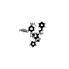 Cl.Cl.NC1CCC(Nc2nc(NCCc3ccccc3)c3ncn(C4CCCC4)c3n2)C(O)C1